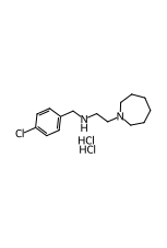 Cl.Cl.Clc1ccc(CNCCN2CCCCCC2)cc1